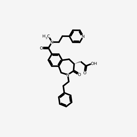 CN(CCc1ccncc1)C(=O)c1ccc2c(c1)C[C@H](CC(=O)O)C(=O)N(CCc1ccccc1)C2